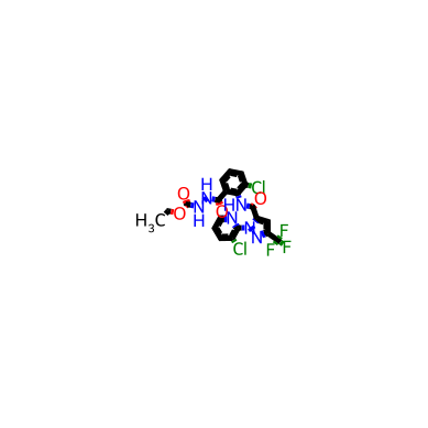 CCOC(=O)NNC(=O)c1cccc(Cl)c1NC(=O)c1cc(C(F)(F)F)nn1-c1ncccc1Cl